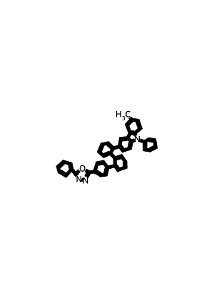 Cc1ccc2c(c1)c1cc(-c3ccccc3-c3ccccc3-c3ccc(-c4nnc(-c5ccccc5)o4)cc3)ccc1n2-c1ccccc1